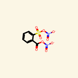 O=C(O[N+](=O)[O-])c1ccccc1S(=O)(=O)O[N+](=O)[O-]